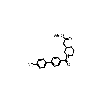 COC(=O)CC1CCCN(C(=O)c2ccc(-c3ccc(C#N)cc3)cc2)C1